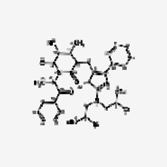 CCCCC(CC)CN(CC(CC)CCCC)c1nc(-c2ccccc2)c(/C=C2\C(=O)N(N(C)C(=O)c3ccccc3)C(=O)C(C#N)=C2C)s1